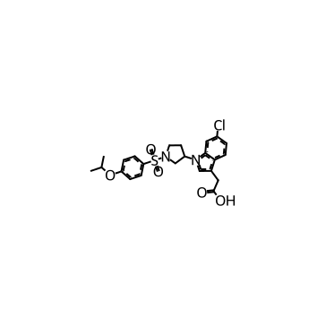 CC(C)Oc1ccc(S(=O)(=O)N2CCC(n3cc(CC(=O)O)c4ccc(Cl)cc43)C2)cc1